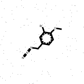 COc1ccc(CN=[N+]=[N-])cc1Br